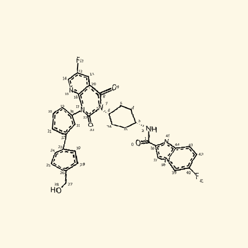 O=C(N[C@H]1CC[C@@H](n2c(=O)c3cc(F)cnc3n(-c3cccc(-c4ccc(CO)cc4)c3)c2=O)CC1)c1cn2cc(F)ccc2n1